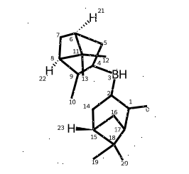 CC1C(BC2C[C@@H]3C[C@H](C2C)C3(C)C)C[C@@H]2CC1C2(C)C